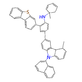 CC1C=CC=C2C1c1cc(-c3ccc(NC4(C)C=CC=CC4)c(-c4ccc5c(c4)sc4ccccc45)c3)ccc1N2c1cccc2ccccc12